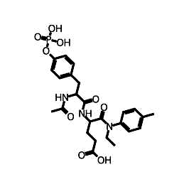 CCN(C(=O)C(CCC(=O)O)NC(=O)C(Cc1ccc(OP(=O)(O)O)cc1)NC(C)=O)c1ccc(C)cc1